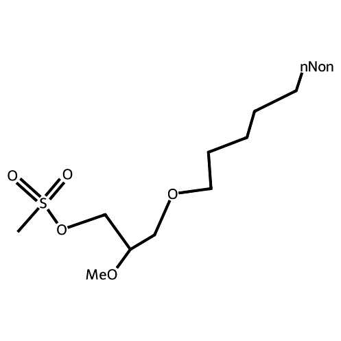 CCCCCCCCCCCCCCOCC(COS(C)(=O)=O)OC